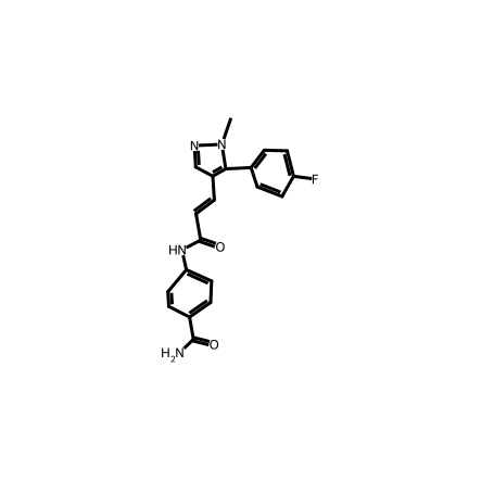 Cn1ncc(C=CC(=O)Nc2ccc(C(N)=O)cc2)c1-c1ccc(F)cc1